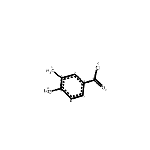 Cc1cc(C(=O)Cl)ccc1O